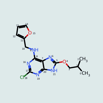 CC(C)COc1nc2c(NCc3ccco3)nc(Cl)nc2[nH]1